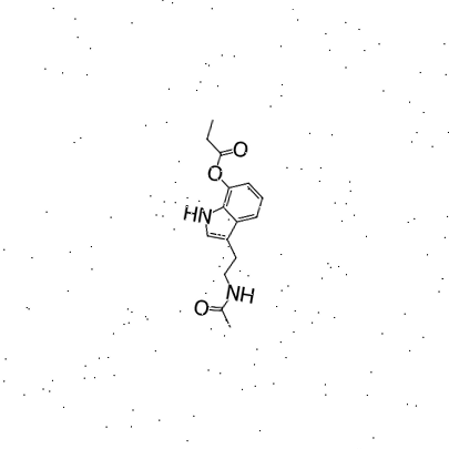 CCC(=O)Oc1cccc2c(CCNC(C)=O)c[nH]c12